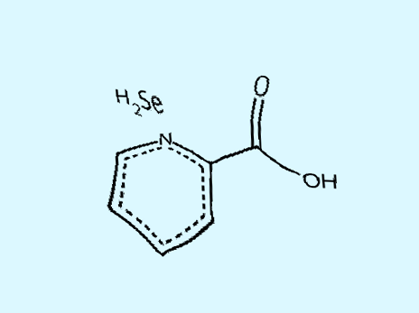 O=C(O)c1ccccn1.[SeH2]